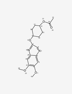 COc1cc2ncc(OC3CCC(OC(C)=O)CC3)nc2cc1OC